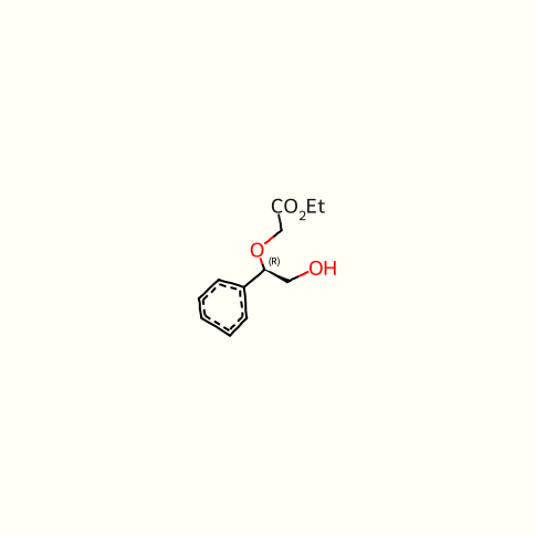 CCOC(=O)CO[C@@H](CO)c1ccccc1